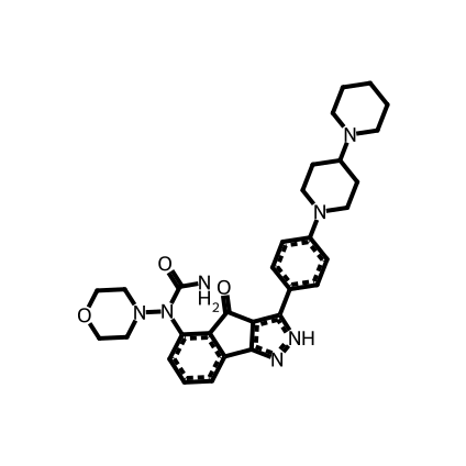 NC(=O)N(c1cccc2c1C(=O)c1c-2n[nH]c1-c1ccc(N2CCC(N3CCCCC3)CC2)cc1)N1CCOCC1